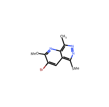 COc1nc2c(C)nnc(SC)c2cc1Br